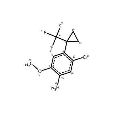 COc1cc(C2(C(F)(F)F)CC2)c(Cl)cc1N